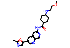 COCCNC1CCC(C(=O)Nc2cc3cc(-c4cnc(C)o4)cnc3cn2)CC1